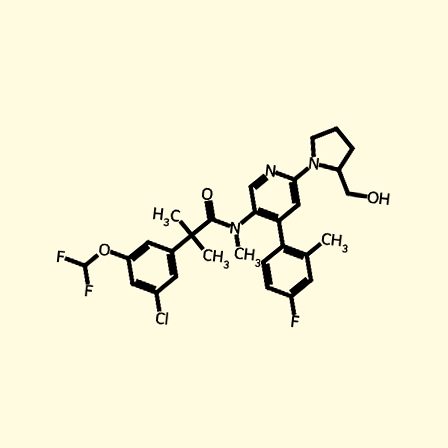 Cc1cc(F)ccc1-c1cc(N2CCCC2CO)ncc1N(C)C(=O)C(C)(C)c1cc(Cl)cc(OC(F)F)c1